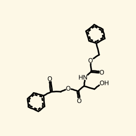 O=C(NC(CO)C(=O)OCC(=O)c1ccccc1)OCc1ccccc1